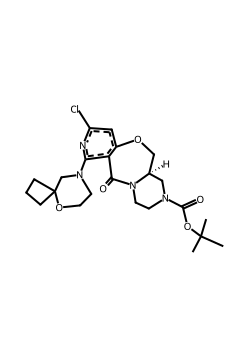 CC(C)(C)OC(=O)N1CCN2C(=O)c3c(cc(Cl)nc3N3CCOC4(CCC4)C3)OC[C@H]2C1